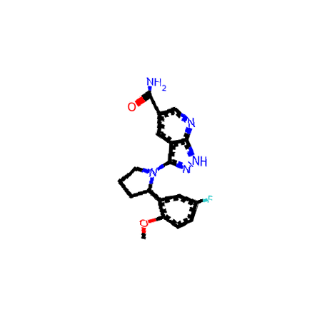 COc1ccc(F)cc1C1CCCN1c1n[nH]c2ncc(C(N)=O)cc12